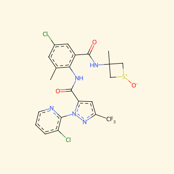 Cc1cc(Cl)cc(C(=O)NC2(C)C[S+]([O-])C2)c1NC(=O)c1cc(C(F)(F)F)nn1-c1ncccc1Cl